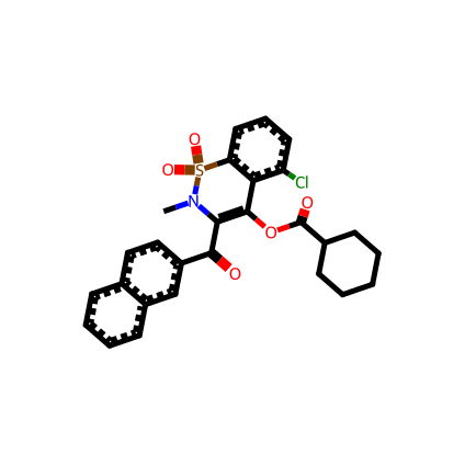 CN1C(C(=O)c2ccc3ccccc3c2)=C(OC(=O)C2CCCCC2)c2c(Cl)cccc2S1(=O)=O